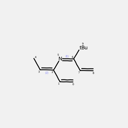 C=CC(=C/C)/N=C(\C=C)C(C)(C)C